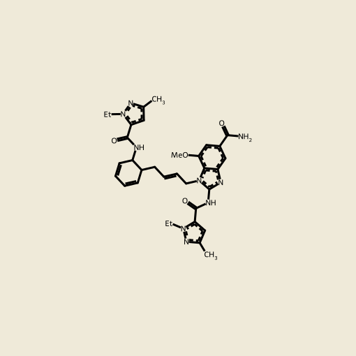 CCn1nc(C)cc1C(=O)Nc1nc2cc(C(N)=O)cc(OC)c2n1CC=CCC1C=CC=CC1NC(=O)c1cc(C)nn1CC